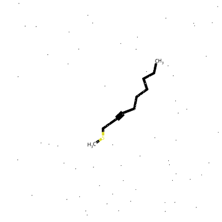 CCCCCCC#CCSC